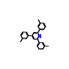 Cc1cccc(-c2cc(-c3cccc(C)c3)nc(-c3cccc(C)c3)c2)c1